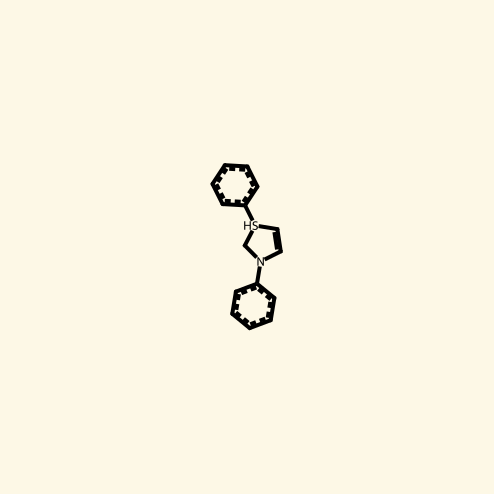 C1=C[SH](c2ccccc2)CN1c1ccccc1